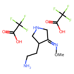 CON=C1CNCC1CCN.O=C(O)C(F)(F)F.O=C(O)C(F)(F)F